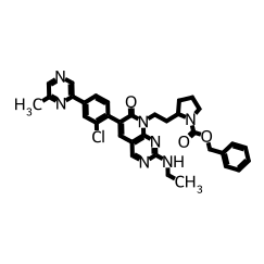 CCNc1ncc2cc(-c3ccc(-c4cncc(C)n4)cc3Cl)c(=O)n(CCC3CCCN3C(=O)OCc3ccccc3)c2n1